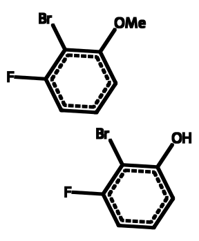 COc1cccc(F)c1Br.Oc1cccc(F)c1Br